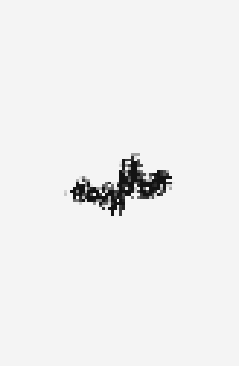 CCS(=O)(=O)c1ccc(C(O)C(=O)Nc2ccc3c(c2)nc(C(F)(F)F)n3Cc2cccc3c2OC(F)(F)O3)cc1